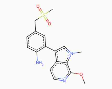 COc1nccc2c(-c3cc(CS(C)(=O)=O)ccc3N)cn(C)c12